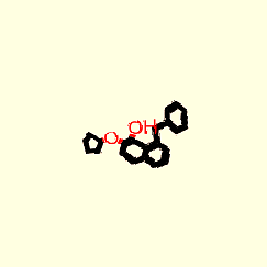 Oc1c(OC2CCCC2)ccc2cccc(Cc3ccccc3)c12